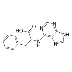 O=C(O)C(Cc1ccccc1)Nc1ncnc2[nH]cnc12